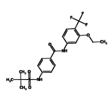 CCOc1cc(NC(=O)c2ccc(NS(=O)(=O)C(C)(C)C)cc2)ccc1C(F)(F)F